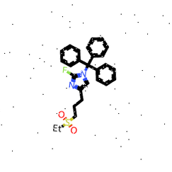 CCS(=O)(=O)CCCc1cn(C(c2ccccc2)(c2ccccc2)c2ccccc2)c(F)n1